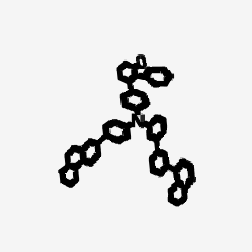 c1cc(-c2cccc(N(c3ccc(-c4ccc5c(ccc6ccccc65)c4)cc3)c3ccc(-c4cccc5oc6ccccc6c45)cc3)c2)cc(-c2cccc3ccccc23)c1